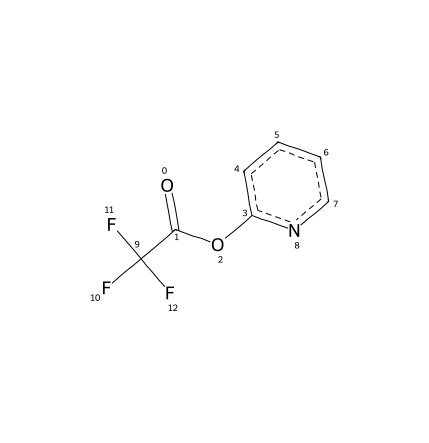 O=C(Oc1ccccn1)C(F)(F)F